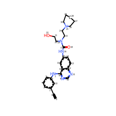 C#Cc1cccc(Nc2ncnc3ccc(NC(=O)N(CCO)CCN4CCCCC4)cc23)c1